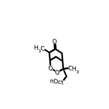 CCCCCCCCCC1(C)OOC2CC1CC(=O)C2C